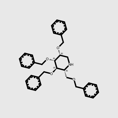 c1ccc(COC[C@H]2NC[C@@H](OCc3ccccc3)[C@@H](OCc3ccccc3)[C@@H]2OCc2ccccc2)cc1